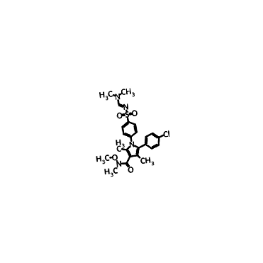 CON(C)C(=O)c1c(C)c(-c2ccc(Cl)cc2)n(-c2ccc(S(=O)(=O)N=CN(C)C)cc2)c1C